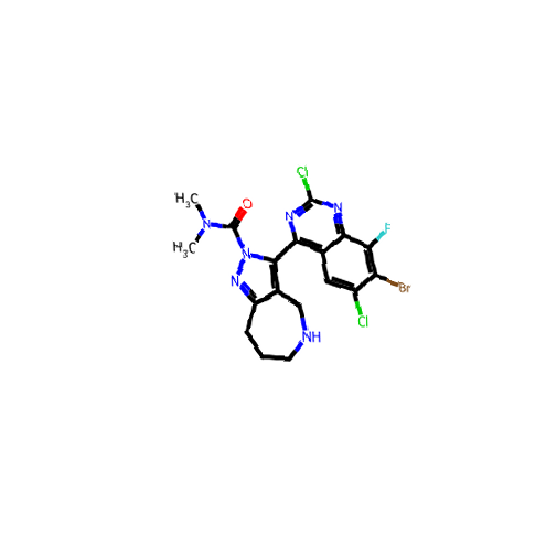 CN(C)C(=O)n1nc2c(c1-c1nc(Cl)nc3c(F)c(Br)c(Cl)cc13)CNCCC2